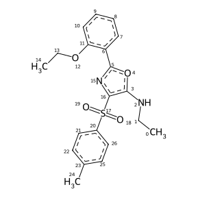 CCNc1oc(-c2ccccc2OCC)nc1S(=O)(=O)c1ccc(C)cc1